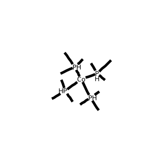 C[PH](C)(C)[Co]([PH](C)(C)C)([PH](C)(C)C)[PH](C)(C)C